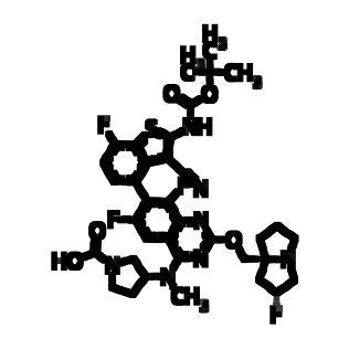 CN(c1nc(OC[C@@]23CCCN2C[C@H](F)C3)nc2c(F)c(-c3ccc(F)c4sc(NC(=O)OC(C)(C)C)c(C#N)c34)c(F)cc12)C1CCN(C(=O)O)C1